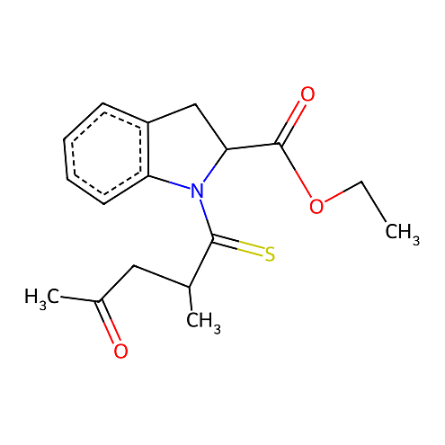 CCOC(=O)C1Cc2ccccc2N1C(=S)C(C)CC(C)=O